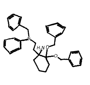 NC1(CCN(Cc2ccccc2)c2ccccc2)CCCCC1(OCc1ccccc1)OCc1ccccc1